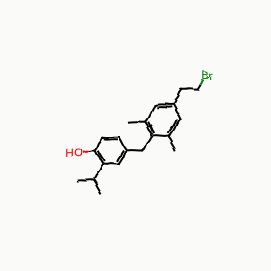 Cc1cc(CCBr)cc(C)c1Cc1ccc(O)c(C(C)C)c1